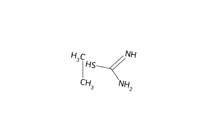 CC.N=C(N)S